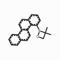 CC1(C)COB1c1cccc2ccc3c4ccccc4ccc3c12